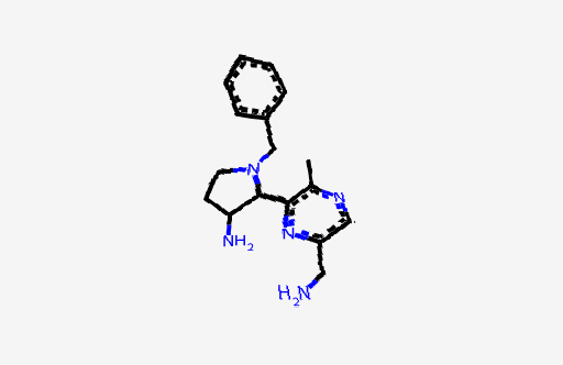 Cc1n[c]c(CN)nc1C1C(N)CCN1Cc1ccccc1